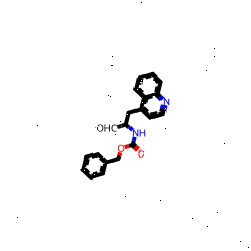 O=[C]C(Cc1ccnc2ccccc12)NC(=O)OCc1ccccc1